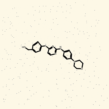 OCc1ccc(Sc2ccnc(Nc3ccc(N4CCOCC4)cc3)n2)cc1